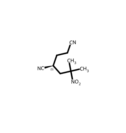 CC(C)(C[C@@H](C#N)CCC#N)[N+](=O)[O-]